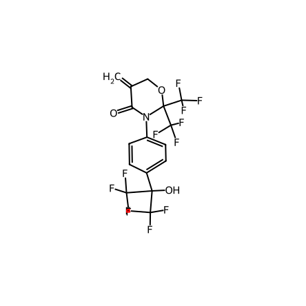 C=C1COC(C(F)(F)F)(C(F)(F)F)N(c2ccc(C(O)(C(F)(F)F)C(F)(F)F)cc2)C1=O